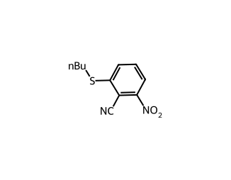 CCCCSc1cccc([N+](=O)[O-])c1C#N